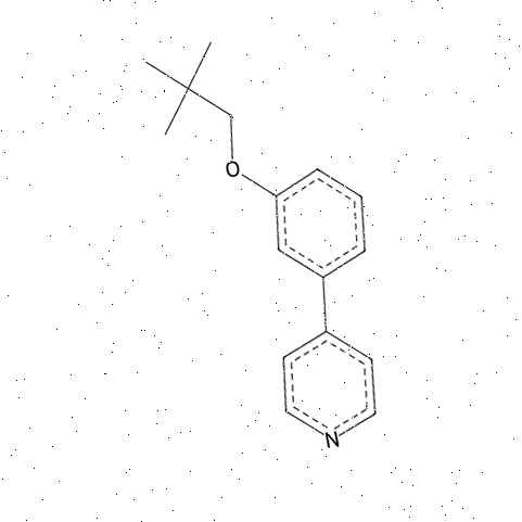 CC(C)(C)COc1cccc(-c2ccncc2)c1